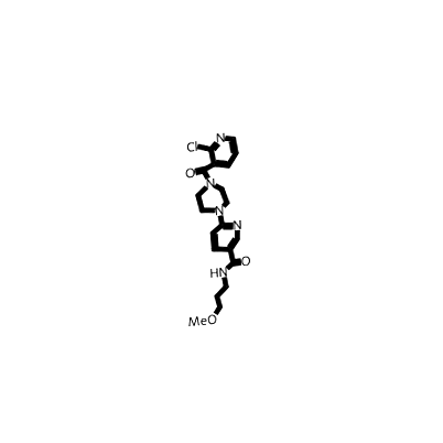 COCCCNC(=O)c1ccc(N2CCN(C(=O)c3cccnc3Cl)CC2)nc1